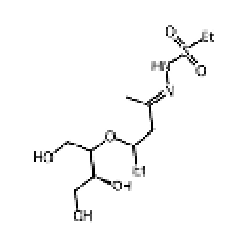 CCC(C/C(C)=N/NS(=O)(=O)CC)OC(CO)[C@@H](O)CO